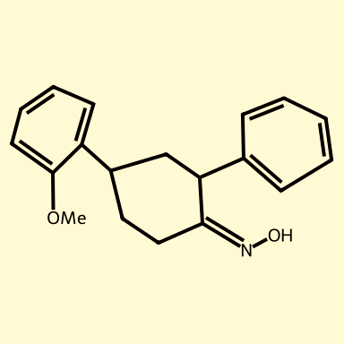 COc1ccccc1C1CC/C(=N/O)C(c2ccccc2)C1